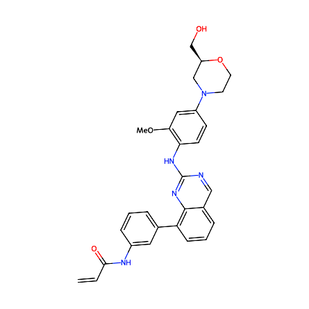 C=CC(=O)Nc1cccc(-c2cccc3cnc(Nc4ccc(N5CCO[C@H](CO)C5)cc4OC)nc23)c1